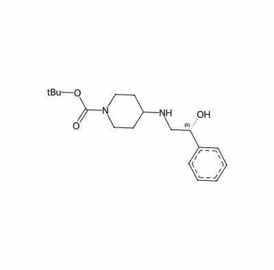 CC(C)(C)OC(=O)N1CCC(NC[C@H](O)c2ccccc2)CC1